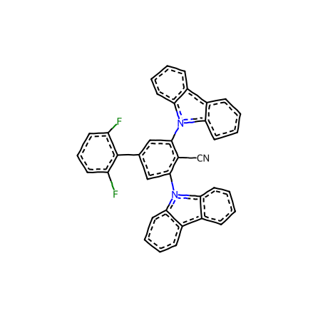 N#Cc1c(-n2c3ccccc3c3ccccc32)cc(-c2c(F)cccc2F)cc1-n1c2ccccc2c2ccccc21